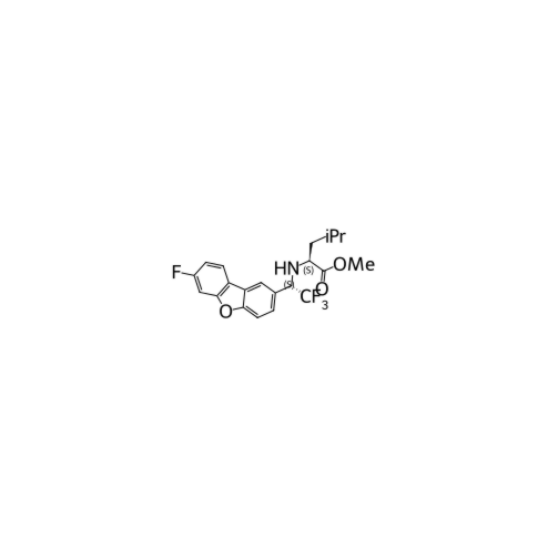 COC(=O)[C@H](CC(C)C)N[C@@H](c1ccc2oc3cc(F)ccc3c2c1)C(F)(F)F